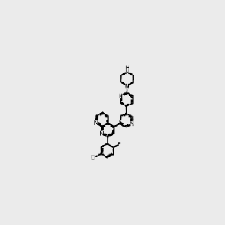 FC1C=CC(Cl)=CC1c1cc(-c2cncc(-c3ccc(N4CCNCC4)nc3)c2)c2cccnc2n1